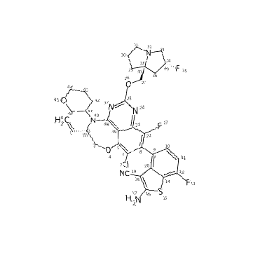 C=C[C@H]1COc2c(Cl)c(-c3ccc(F)c4sc(N)c(C#N)c34)c(F)c3nc(OC[C@@]45CCCN4C[C@H](F)C5)nc(c23)N1C1CCCOC1